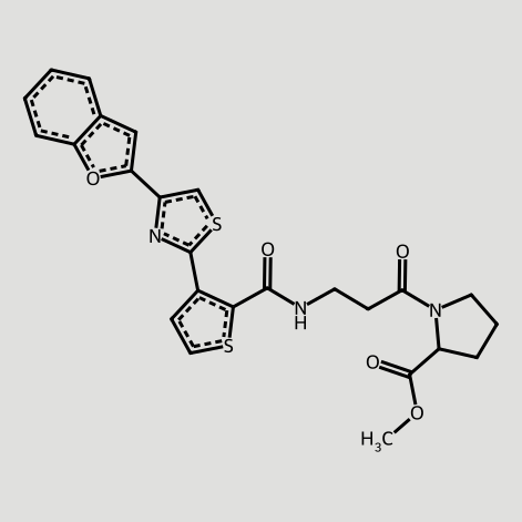 COC(=O)C1CCCN1C(=O)CCNC(=O)c1sccc1-c1nc(-c2cc3ccccc3o2)cs1